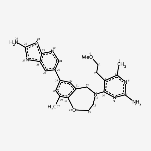 COCCc1c(C)nc(N)nc1N1CCOc2c(C)cc(-c3cnc4sc(N)nc4c3)cc2C1